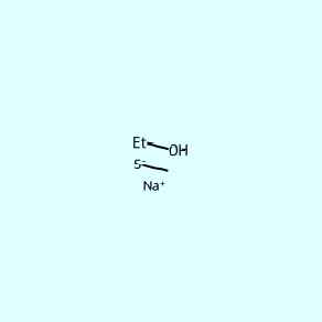 CCO.C[S-].[Na+]